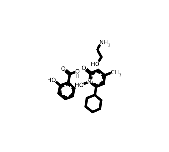 Cc1cc(C2CCCCC2)n(O)c(=O)c1.NCCO.O=C(O)c1ccccc1O